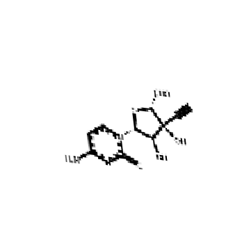 C#C[C@@]1(O)[C@@H](C=O)O[C@@H](n2ccc(N)nc2=O)[C@@H]1O